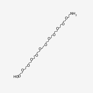 NCCOCCOCCOCCOCCOCCOCCOCCOCCOCCOCCOCCOO